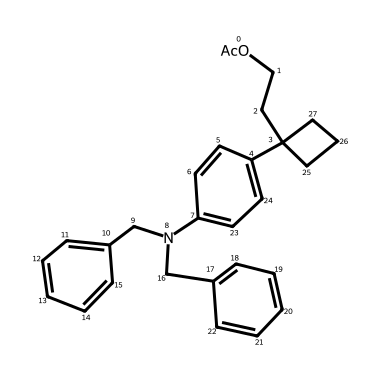 CC(=O)OCCC1(c2ccc(N(Cc3ccccc3)Cc3ccccc3)cc2)CCC1